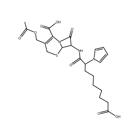 CC(=O)OCC1=C(C(=O)O)N2C(=O)C(NC(=O)C(CCCCCCC(=O)O)n3cccc3)C2SC1